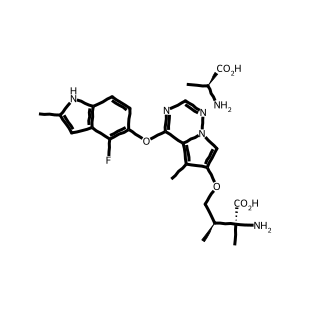 C[C@H](N)C(=O)O.Cc1cc2c(F)c(Oc3ncnn4cc(OC[C@H](C)[C@](C)(N)C(=O)O)c(C)c34)ccc2[nH]1